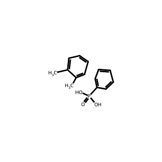 Cc1ccccc1C.O=P(O)(O)c1ccccc1